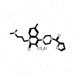 CCOC(=O)c1c(N2CCN(C(=O)c3ccco3)CC2)c2cc(C)ccc2n(CCCN(C)C)c1=O